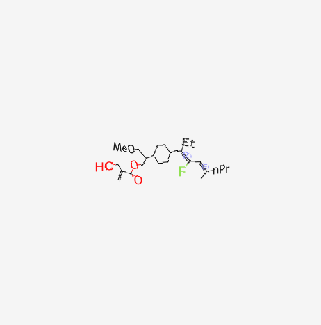 C=C(CO)C(=O)OCC(COC)C1CCC(/C(CC)=C(F)/C=C(\C)CCC)CC1